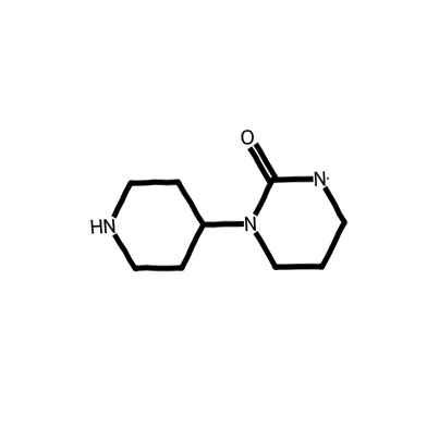 O=C1[N]CCCN1C1CCNCC1